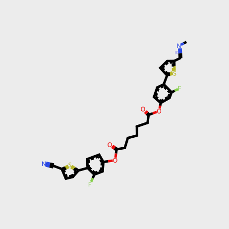 C/N=C/c1ccc(-c2ccc(OC(=O)CCCCCC(=O)Oc3ccc(-c4ccc(C#N)s4)c(F)c3)cc2F)s1